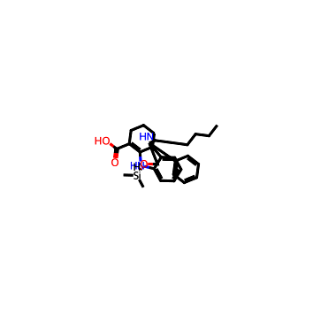 CCCCC1NC2CCC(C(=O)O)=C3Nc4ccccc4C32C1(CO[SiH](C)C)c1ccccc1